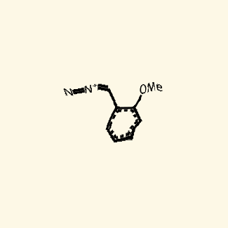 COc1ccccc1C=[N+]=[N-]